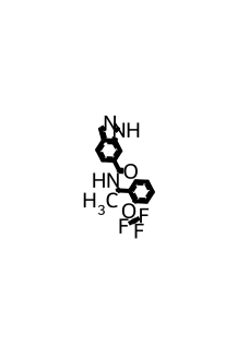 CC(NC(=O)c1ccc2cn[nH]c2c1)c1ccccc1OC(F)(F)F